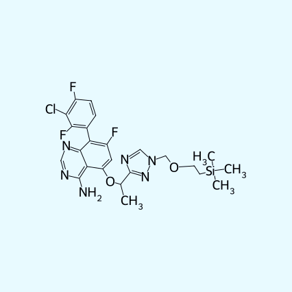 CC(Oc1cc(F)c(-c2ccc(F)c(Cl)c2F)c2ncnc(N)c12)c1ncn(COCC[Si](C)(C)C)n1